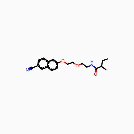 CCC(C)C(=O)NCCOCCOc1ccc2cc(C#N)ccc2c1